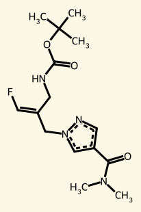 CN(C)C(=O)c1cnn(C/C(=C/F)CNC(=O)OC(C)(C)C)c1